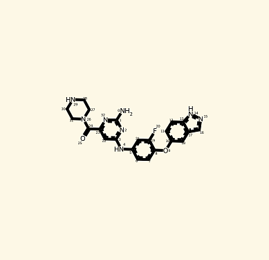 Nc1nc(Nc2ccc(Oc3ccc4[nH]ncc4c3)c(F)c2)cc(C(=O)N2CCNCC2)n1